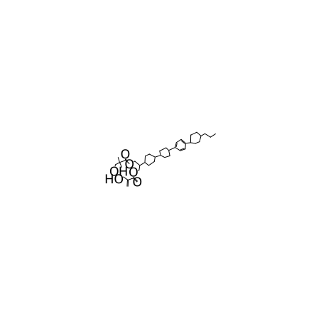 C=C(CO)C(=O)OCC(COC(=O)C(C)(C)CO)C1CCC(C2CCC(c3ccc(C4CCC(CCC)CC4)cc3)CC2)CC1